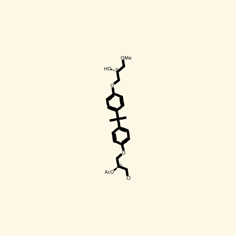 COC[C@@H](O)COc1ccc(C(C)(C)c2ccc(OC[C@@H](CCl)OC(C)=O)cc2)cc1